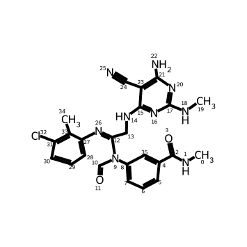 CNC(=O)c1cccc(N(C=O)/C(CNc2nc(NC)nc(N)c2C#N)=N\c2cccc(Cl)c2C)c1